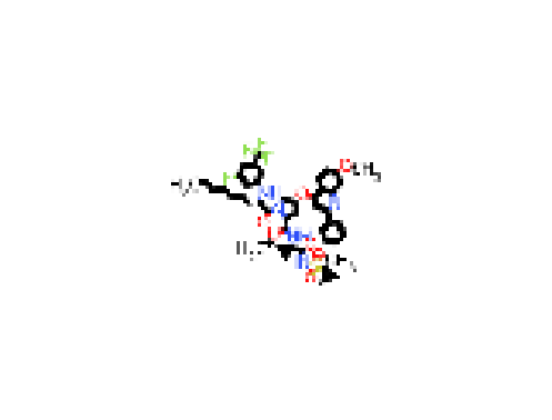 C=CCCCCC[C@H](Nc1cc(F)cc(C(F)(F)F)c1)C(=O)N1C[C@H](Oc2cc(-c3ccccc3)nc3cc(OC)ccc23)C[C@H]1C(=O)N[C@]1(C(=O)NS(=O)(=O)C2(C)CC2)C[C@H]1C=C